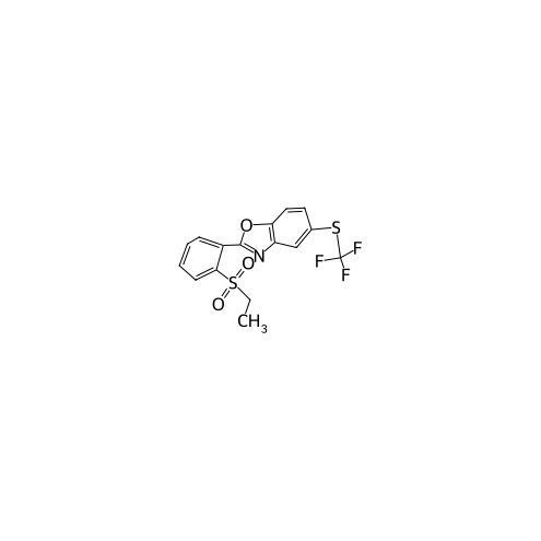 CCS(=O)(=O)c1ccccc1-c1nc2cc(SC(F)(F)F)ccc2o1